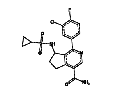 NC(=O)c1cnc(-c2ccc(F)c(Cl)c2)c2c1CCC2NS(=O)(=O)C1CC1